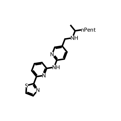 CCCCCC(C)NCc1ccc(Nc2cccc(-c3nccs3)n2)nc1